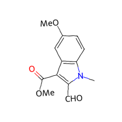 COC(=O)c1c(C=O)n(C)c2ccc(OC)cc12